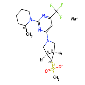 C[C@H]1CCCCN1c1nc(N2C[C@@H]3[C@H](C2)[C@@H]3[SH](C)(=O)[O-])cc(C(F)(F)F)n1.[Na+]